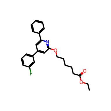 CCOC(=O)CCCCCOc1cc(-c2cccc(F)c2)cc(-c2ccccc2)n1